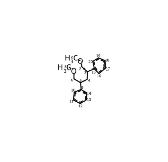 COCC(CC(COC)c1ccccc1)c1ccccc1